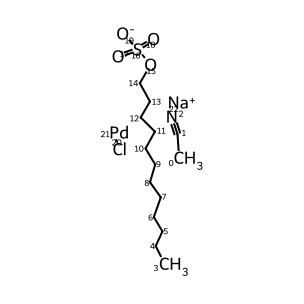 CC#N.CCCCCCCCCCCCOS(=O)(=O)[O-].[Cl][Pd].[Na+]